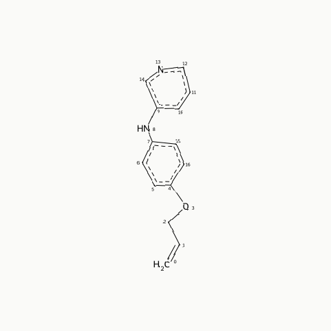 C=CCOc1ccc(Nc2cccnc2)cc1